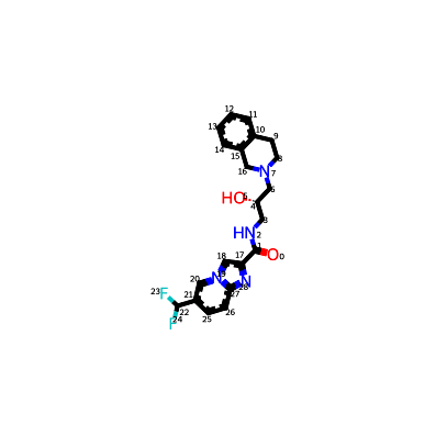 O=C(NC[C@H](O)CN1CCc2ccccc2C1)c1cn2cc(C(F)F)ccc2n1